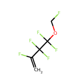 C=C(F)C(F)(F)C(F)(F)OCF